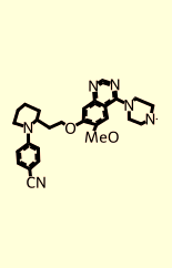 COc1cc2c(N3CC[N]CC3)ncnc2cc1OCCC1CCCCN1c1ccc(C#N)cc1